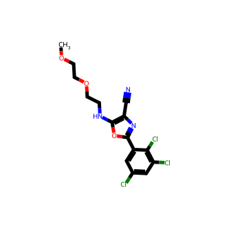 COCCOCCNc1oc(-c2cc(Cl)cc(Cl)c2Cl)nc1C#N